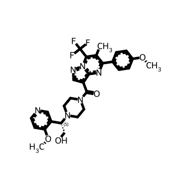 COc1ccc(-c2nc3c(C(=O)N4CCN([C@H](CO)c5cnccc5OC)CC4)cnn3c(C(F)(F)F)c2C)cc1